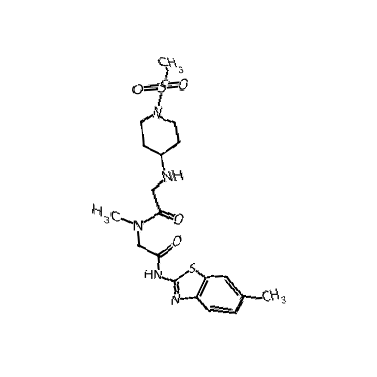 Cc1ccc2nc(NC(=O)CN(C)C(=O)CNC3CCN(S(C)(=O)=O)CC3)sc2c1